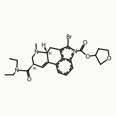 CCN(CC)C(=O)[C@@H]1C=C2c3cccc4c3c(c(Br)n4C(=O)OC3CCOC3)C[C@H]2N(C)C1